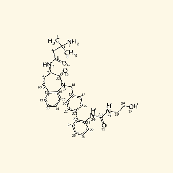 CC(C)(N)CC(=O)N[C@@H]1CSc2ccccc2N(Cc2ccc(-c3ccccc3NC(=O)NCCO)cc2)C1=O